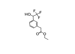 CCOC(=O)Cc1cccc(C(O)C(F)(F)F)c1